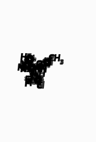 Cc1ccc(NC(=O)Nc2cc(-c3ccccc3-c3nnn[nH]3)ccc2N(CCC(F)(F)F)Cc2ccc(Cl)cc2)cc1